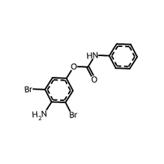 Nc1c(Br)cc(OC(=O)Nc2ccccc2)cc1Br